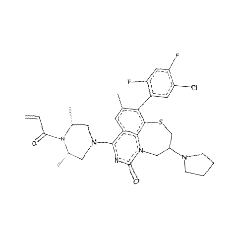 C=CC(=O)N1[C@H](C)CN(c2nc(=O)n3c4c(c(-c5cc(Cl)c(F)cc5F)c(C)cc24)SCC(N2CCCC2)C3)C[C@@H]1C